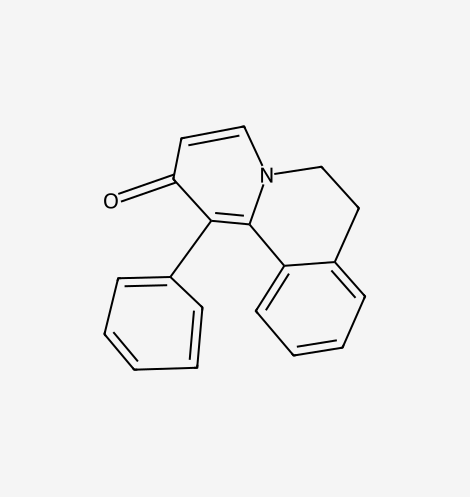 O=c1ccn2c(c1-c1ccccc1)-c1ccccc1CC2